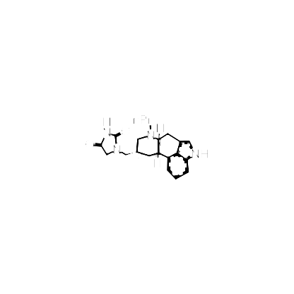 CCCN1C[C@H](CN2CC(=O)NC2=O)C[C@@H]2c3cccc4[nH]cc(c34)C[C@H]21